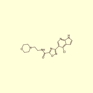 O=C(NCCN1CCOCC1)c1nc(-c2cnc3[nH]ccc3c2Cl)no1